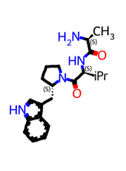 CC(C)[C@H](NC(=O)[C@H](C)N)C(=O)N1CCC[C@H]1Cc1c[nH]c2ccccc12